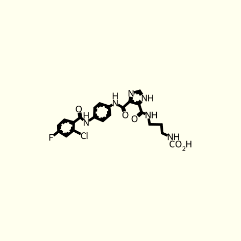 O=C(O)NCCCNC(=O)c1[nH]cnc1C(=O)Nc1ccc(NC(=O)c2ccc(F)cc2Cl)cc1